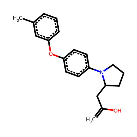 C=C(O)CC1CCCN1c1ccc(Oc2cccc(C)c2)cc1